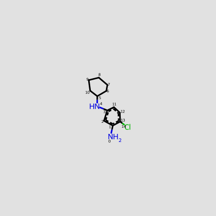 Nc1cc(NC2CCCCC2)ccc1Cl